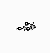 O=C(NCc1cccc(OCCc2ccc(Cl)cc2)c1)[C@@H]1CCCN1S(=O)(=O)c1ccc(F)cc1